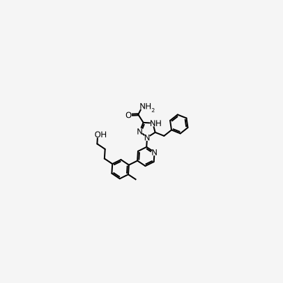 Cc1ccc(CCCO)cc1-c1ccnc(N2N=C(C(N)=O)NC2Cc2ccccc2)c1